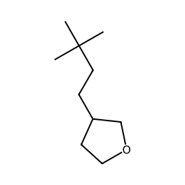 CC(C)(C)CCC1CCOC1